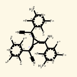 N#C/C(=C1\C(=C(N)c2c(F)c(F)nc(P)c2F)\C1=C(\C#N)c1c(F)c(F)nc(P)c1F)c1c(F)c(F)nc(F)c1F